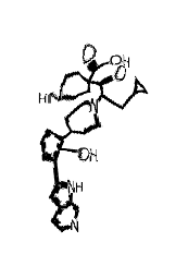 O=C(O)C1(C(=O)C(CC2CC2)N2CCC(c3cccc(-c4cc5ccncc5[nH]4)c3O)CC2)CCNCC1